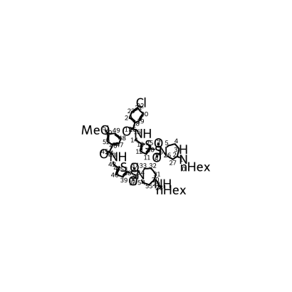 CCCCCCNC1CCCN(S(=O)(=O)c2ccc(CNC(=O)c3ccc(Cl)cc3)s2)CC1.CCCCCCNC1CCCN(S(=O)(=O)c2ccc(CNC(=O)c3cccc(OC)c3)s2)CC1